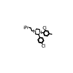 Cc1ccc(N2CCN(CCC(C)C)CC2c2ccc(Cl)cc2)c(Cl)c1